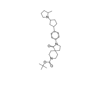 CC1CCCN1C1CCC(c2ccc(N3CCC4(CCN(C(=O)OC(C)(C)C)CC4)C3=O)cc2)C1